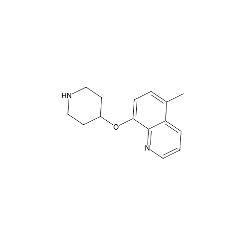 Cc1ccc(OC2CCNCC2)c2ncccc12